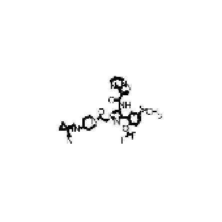 CSc1ccc(OC(F)F)c(-c2nn(CC(=O)N3CCC(NCC4(C#N)CC4)CC3)cc2NC(=O)c2cnn3cccnc23)c1